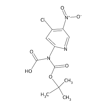 CC(C)(C)OC(=O)N(C(=O)O)c1cc(Cl)c([N+](=O)[O-])cn1